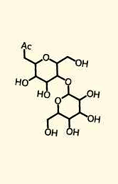 CC(=O)CC1OC(CO)C(OC2OC(CO)C(O)C(O)C2O)C(O)C1O